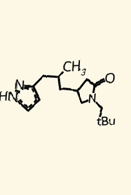 CC(Cc1cc[nH]n1)CC1CC(=O)N(CC(C)(C)C)C1